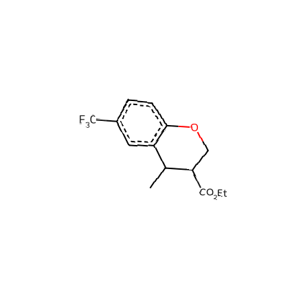 CCOC(=O)C1COc2ccc(C(F)(F)F)cc2C1C